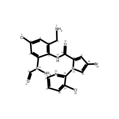 NCc1cc(Cl)cc(N(N)C=O)c1NC(=O)c1cc(Br)cn1-c1ncccc1Cl